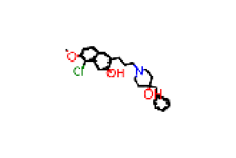 COc1ccc2cc(CCCN3CCC(O)(Cc4ccccc4)CC3)c(O)cc2c1Cl